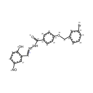 O=Nc1ccc(O)c(/C=N/NC(=O)c2ccc(OCc3cccc(Br)c3)cc2)c1